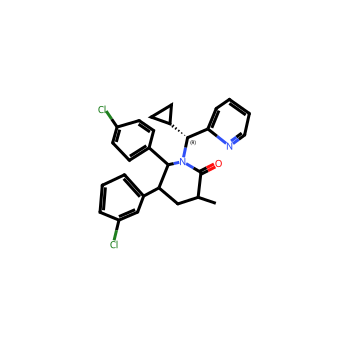 CC1CC(c2cccc(Cl)c2)C(c2ccc(Cl)cc2)N([C@@H](c2ccccn2)C2CC2)C1=O